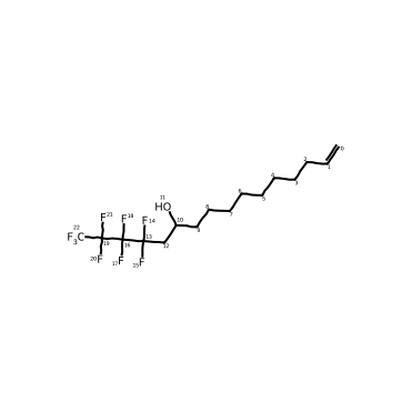 C=CCCCCCCCCC(O)CC(F)(F)C(F)(F)C(F)(F)C(F)(F)F